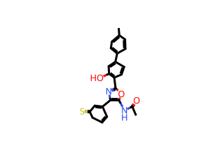 CC(=O)Nc1oc(-c2ccc(-c3ccc(C)cc3)cc2O)nc1C1=CC(=S)CC=C1